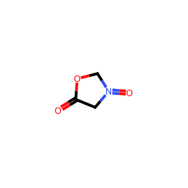 O=C1C[N+](=O)CO1